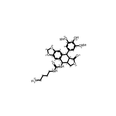 COc1cc(C2c3cc4c(cc3C(NC(=O)NCCCCN)C3COC(=O)C23)OCO4)cc(OC)c1O